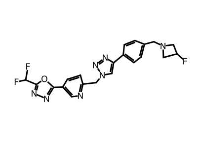 FC1CN(Cc2ccc(-c3cn(Cc4ccc(-c5nnc(C(F)F)o5)cn4)nn3)cc2)C1